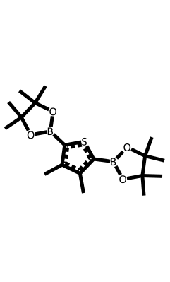 Cc1c(B2OC(C)(C)C(C)(C)O2)sc(B2OC(C)(C)C(C)(C)O2)c1C